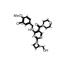 COc1ccc(CNc2nc(N3CC[C@@H]3CO)ncc2C(=O)N2CCOCC2)cc1Cl